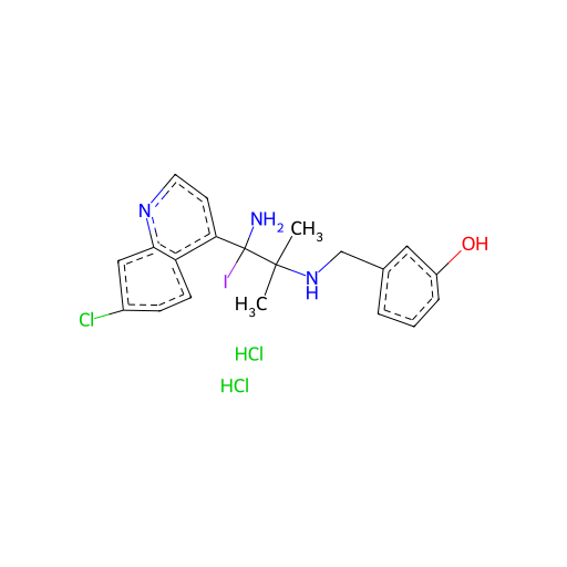 CC(C)(NCc1cccc(O)c1)C(N)(I)c1ccnc2cc(Cl)ccc12.Cl.Cl